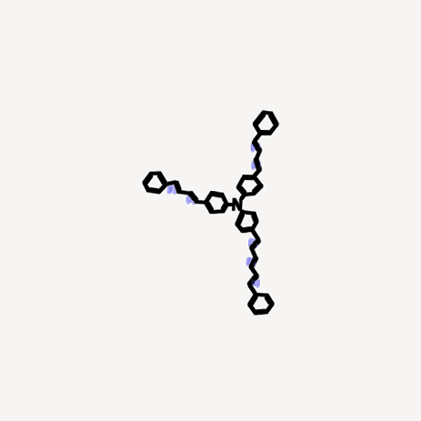 C(=C\C=C\c1ccc(N(c2ccc(/C=C/C=C/c3ccccc3)cc2)c2ccc(/C=C/C=C/c3ccccc3)cc2)cc1)/C=C/c1ccccc1